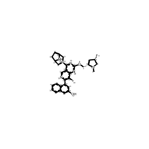 CN1C[C@@H](F)C[C@H]1COc1nc(N2CC3CCC(C2)N3)c2cnc(-c3cc(O)cc4ccccc34)c(F)c2n1